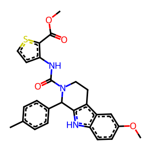 COC(=O)c1sccc1NC(=O)N1CCc2c([nH]c3ccc(OC)cc23)C1c1ccc(C)cc1